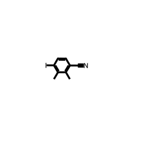 Cc1c(I)ccc(C#N)c1C